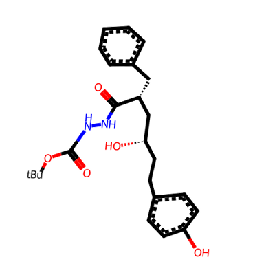 CC(C)(C)OC(=O)NNC(=O)[C@H](Cc1ccccc1)C[C@@H](O)CCc1ccc(O)cc1